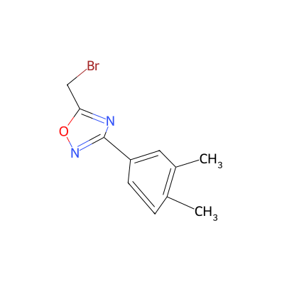 Cc1ccc(-c2noc(CBr)n2)cc1C